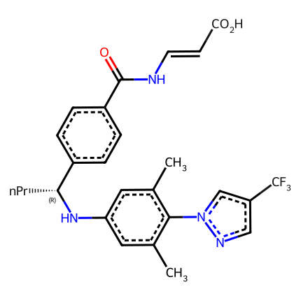 CCC[C@@H](Nc1cc(C)c(-n2cc(C(F)(F)F)cn2)c(C)c1)c1ccc(C(=O)NC=CC(=O)O)cc1